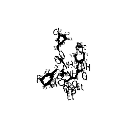 CCOP(=O)(OCC)C(O)C(CC1CC2(CCN(C(C)=O)CC2)NC1=O)NC(=O)[C@H](Cc1cccc(F)c1)NC(=O)OCc1cccc(Cl)c1